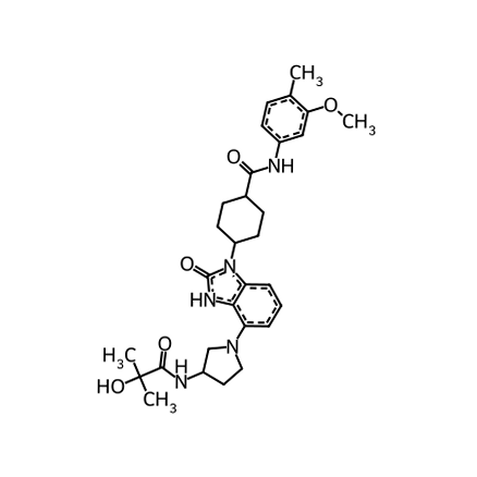 COc1cc(NC(=O)C2CCC(n3c(=O)[nH]c4c(N5CCC(NC(=O)C(C)(C)O)C5)cccc43)CC2)ccc1C